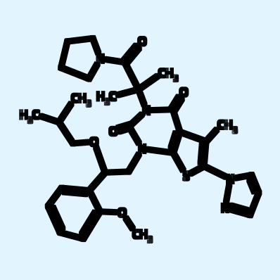 COc1ccccc1C(Cn1c(=O)n(C(C)(C)C(=O)N2CCCC2)c(=O)c2c(C)c(-n3cccn3)sc21)OCC(C)C